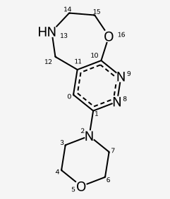 c1c(N2CCOCC2)nnc2c1CNCCO2